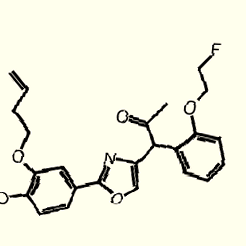 C=CCCOc1cc(-c2nc(C(C(C)=O)c3ccccc3OCCF)co2)ccc1OC